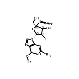 CCOC1NC(N)=Nc2c1ncn2[C@@H]1O[C@@](CO)(N=[N+]=[N-])[C@@H](O)[C@H]1F